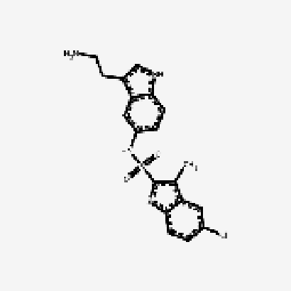 Cc1c(S(=O)(=O)Nc2ccc3[nH]cc(CCN)c3c2)sc2ccc(Cl)cc12